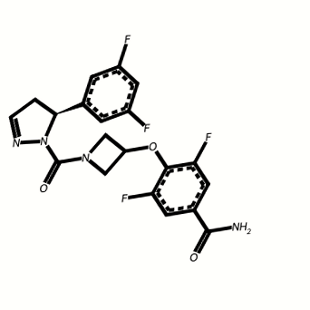 NC(=O)c1cc(F)c(OC2CN(C(=O)N3N=CC[C@H]3c3cc(F)cc(F)c3)C2)c(F)c1